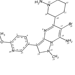 COc1ccc(C2=C3N=C(C4CCCN(N)C4)C(Br)=C(N)N3N(C)C2)cn1